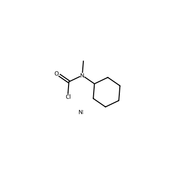 CN(C(=O)Cl)C1CCCCC1.[N]